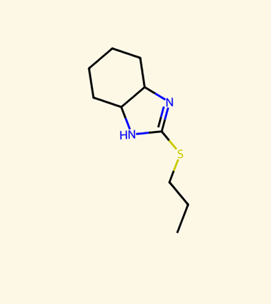 CCCSC1=NC2CCCCC2N1